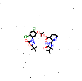 CC(C)C1(C)N=C(c2ncccc2C(=O)O)NC1=O.CC(C)Oc1cc(-n2nc(C(C)(C)C)oc2=O)c(Cl)cc1Cl